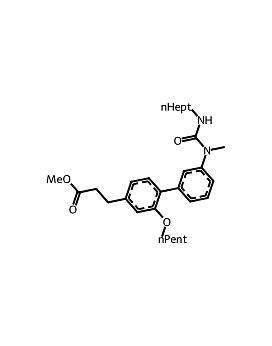 CCCCCCCNC(=O)N(C)c1cccc(-c2ccc(CCC(=O)OC)cc2OCCCCC)c1